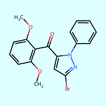 COc1cccc(OC)c1C(=O)c1cc(Br)nn1-c1ccccc1